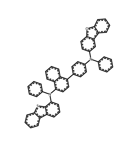 c1ccc(N(c2ccc(-c3ccc(N(c4ccccc4)c4cccc5c4sc4ccccc45)c4ccccc34)cc2)c2ccc3oc4ccccc4c3c2)cc1